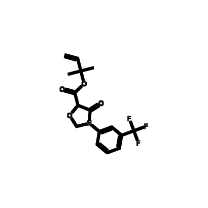 C=CC(C)(C)OC(=O)C1OCN(c2cccc(C(F)(F)F)c2)C1=O